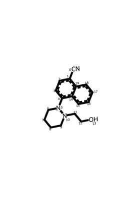 N#Cc1ccc(N2CCCCN2CCO)c2ccccc12